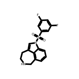 O=S(=O)(c1cc(F)cc(F)c1)n1cc2c3c(cccc31)CNCC2